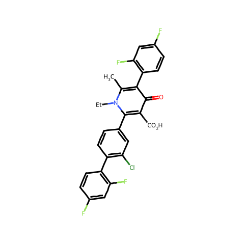 CCn1c(C)c(-c2ccc(F)cc2F)c(=O)c(C(=O)O)c1-c1ccc(-c2ccc(F)cc2F)c(Cl)c1